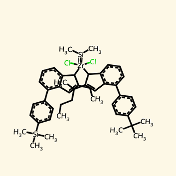 CCCC(C)C1=Cc2c(-c3ccc(C(C)(C)C)cc3)cccc2[CH]1[Zr]([Cl])([Cl])([CH]1C(CC)=Cc2c(-c3ccc([Si](C)(C)C)cc3)cccc21)[SiH](C)C